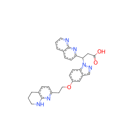 O=C(O)CC(c1ccc2cccnc2n1)n1ncc2cc(OCCc3ccc4c(n3)NCCC4)ccc21